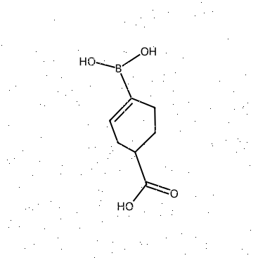 O=C(O)C1CC=C(B(O)O)CC1